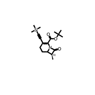 C[C@@H]1C(=O)N2C(C(=O)OC(C)(C)C)=C(C#C[Si](C)(C)C)CCC12